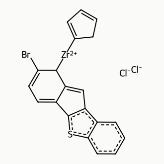 BrC1=CC=C2C(=Cc3c2sc2ccccc32)[CH]1[Zr+2][C]1=CC=CC1.[Cl-].[Cl-]